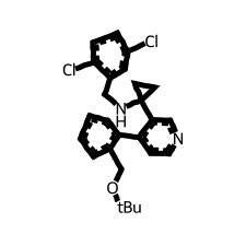 CC(C)(C)OCc1ccccc1-c1ccncc1C1(NCc2cc(Cl)ccc2Cl)CC1